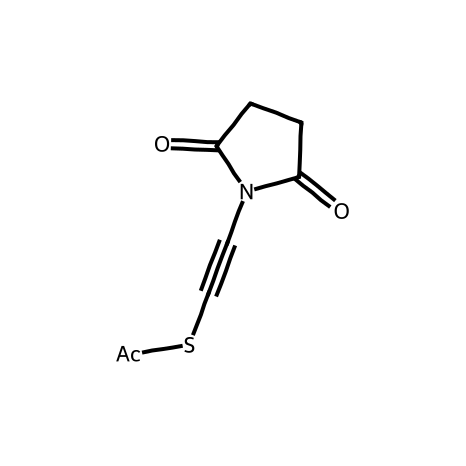 CC(=O)SC#CN1C(=O)CCC1=O